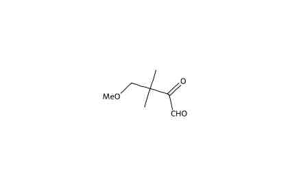 COCC(C)(C)C(=O)C=O